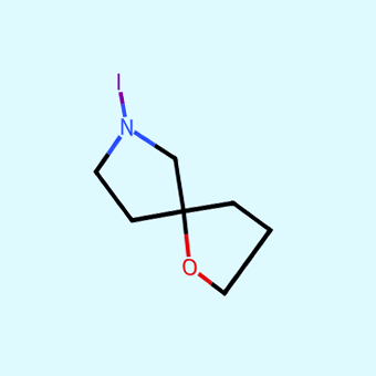 IN1CCC2(CCCO2)C1